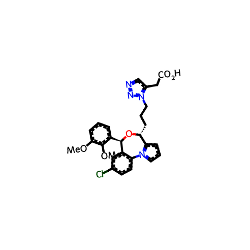 COc1cccc([C@H]2O[C@H](CCCn3nncc3CC(=O)O)c3cccn3-c3ccc(Cl)cc32)c1OC